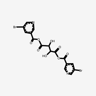 O=C(OC(=O)C(O)C(O)C(=O)OC(=O)c1cncc(Br)c1)c1cncc(Br)c1